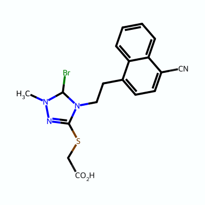 CN1N=C(SCC(=O)O)N(CCc2ccc(C#N)c3ccccc23)C1Br